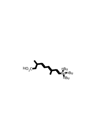 CCC[CH2][Sn](/[CH]=C/C(C)=C/C=C/C(C)CC(=O)O)([CH2]CCC)[CH2]CCC